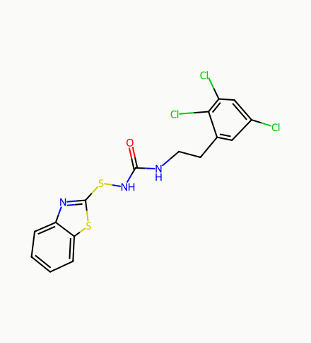 O=C(NCCc1cc(Cl)cc(Cl)c1Cl)NSc1nc2ccccc2s1